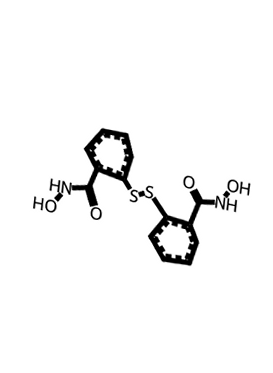 O=C(NO)c1ccccc1SSc1ccccc1C(=O)NO